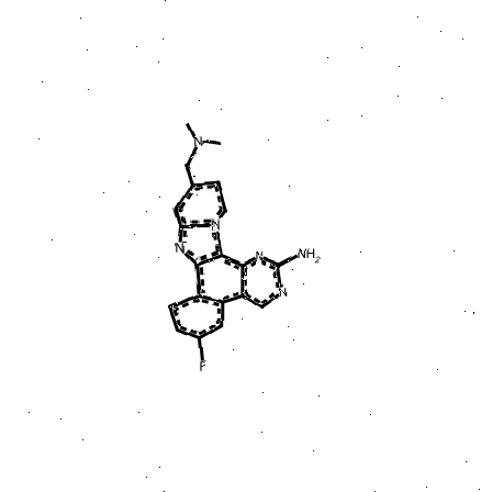 CN(C)Cc1ccn2c(c1)nc1c3ccc(F)cc3c3cnc(N)nc3c12